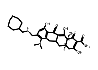 CN(C)c1c(CNCC2CCCCCC2)cc(O)c2c1CC1C[C@H]3CC(O)=C(C(N)=O)C(=O)[C@@]3(O)C(O)=C1C2=O